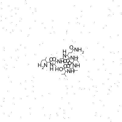 CCC(C)C(N)C(=O)NC(C)C(=O)NCC(=O)NC(CCC(N)=O)C(=O)NC(C(=O)NC(C(=O)NC(C(=O)O)C(C)C)C(C)C)C(C)C